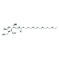 CCCCCCCCCCCCCCCC(=O)OC[C@H](O)[C@H]1OC(=O)C(CO)=C1O